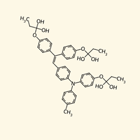 CCC(O)(O)Oc1ccc(C(=Cc2ccc(N(c3ccc(C)cc3)c3ccc(OC(O)(O)CC)cc3)cc2)c2ccc(OC(O)(O)CC)cc2)cc1